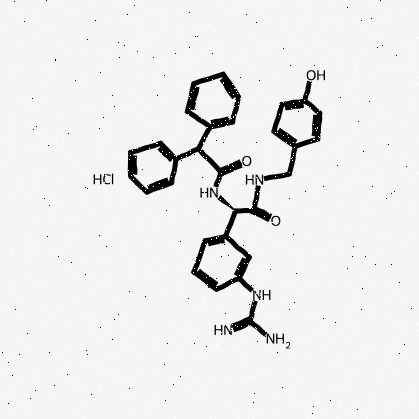 Cl.N=C(N)Nc1cccc([C@@H](NC(=O)C(c2ccccc2)c2ccccc2)C(=O)NCc2ccc(O)cc2)c1